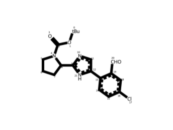 CC(C)(C)OC(=O)N1CCCC1c1ncc(-c2ccc(Cl)cc2C=O)[nH]1